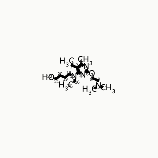 CCc1c(C)nc(OCCN(C)C)nc1N(CC)CCCCO